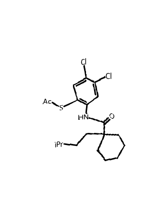 CC(=O)Sc1cc(Cl)c(Cl)cc1NC(=O)C1(CCC(C)C)CCCCC1